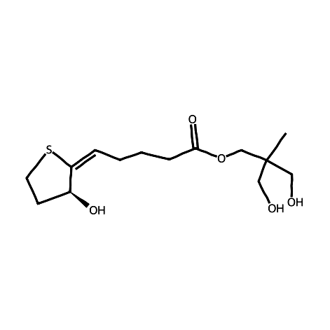 CC(CO)(CO)COC(=O)CCC/C=C1/SCC[C@@H]1O